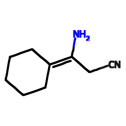 N#CCC(N)=C1CCCCC1